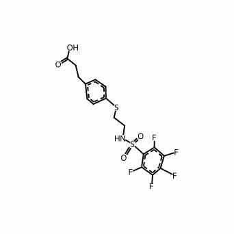 O=C(O)CCc1ccc(SCCNS(=O)(=O)c2c(F)c(F)c(F)c(F)c2F)cc1